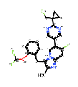 Cc1nc2cc(F)c(-c3cnc(C4(CF)CC4)nc3)cn2c1Cc1ccccc1OC(F)F